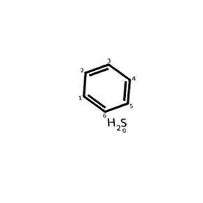 S.c1ccccc1